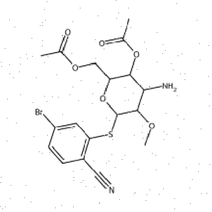 COC1C(Sc2cc(Br)ccc2C#N)OC(COC(C)=O)C(OC(C)=O)C1N